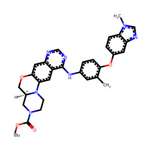 Cc1cc(Nc2ncnc3cc4c(cc23)N2CCN(C(=O)OC(C)(C)C)C[C@H]2CO4)ccc1Oc1ccc2c(c1)ncn2C